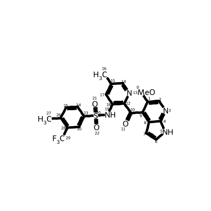 COc1cnc2[nH]ccc2c1C(=O)c1ncc(C)cc1NS(=O)(=O)c1ccc(C)c(C(F)(F)F)c1